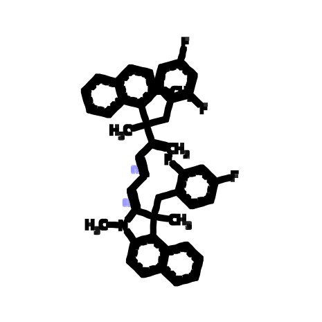 C=C(/C=C/C=C1/N(C)c2ccc3ccccc3c2C1(C)Cc1ccc(F)cc1F)C(C)(Cc1ccc(F)cc1F)c1c(C)ccc2ccccc12